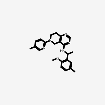 COc1ccc(C)cc1C(C)Nc1ncnc2c1CN(c1ccc(C)cn1)CC2